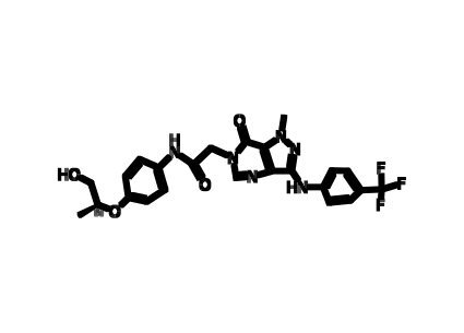 C[C@@H](CO)Oc1ccc(NC(=O)Cn2cnc3c(Nc4ccc(C(F)(F)F)cc4)nn(C)c3c2=O)cc1